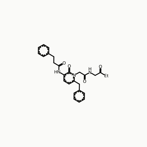 CCC(=O)CNC(=O)Cn1c(Cc2ccccc2)ccc(NC(=O)CCc2ccccc2)c1=O